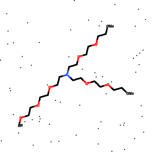 CCCOCCOCCOCCN(CCOCCOCCOC)CCOCCOCCOC